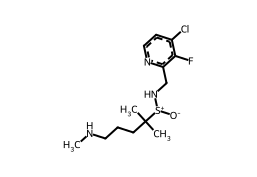 CNCCCC(C)(C)[S+]([O-])NCc1nccc(Cl)c1F